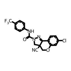 N#CC12COc3cc(Cl)ccc3C1=NN(C(=O)Nc1ccc(C(F)(F)F)cc1)C2